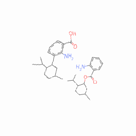 CC1CCC(C(C)C)C(OC(=O)c2ccccc2N)C1.CC1CCC(C(C)C)C(c2cccc(C(=O)O)c2N)C1